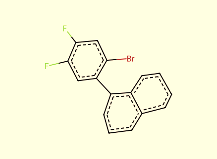 Fc1cc(Br)c(-c2cccc3ccccc23)cc1F